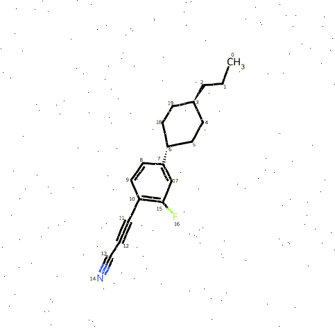 CCC[C@H]1CC[C@H](c2ccc(C#CC#N)c(F)c2)CC1